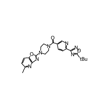 Cc1ccc2oc(N3CCN(C(=O)c4ccc(-c5noc(C(C)(C)C)n5)nc4)CC3)nc2n1